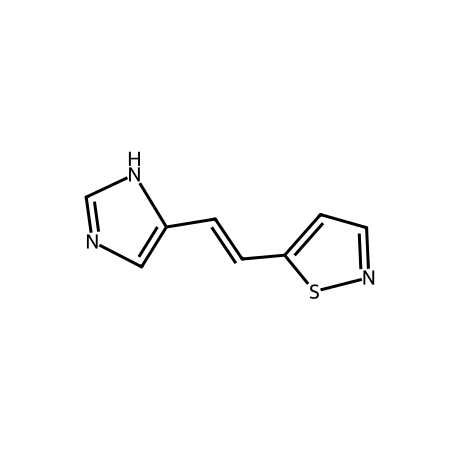 C(=Cc1ccns1)c1cnc[nH]1